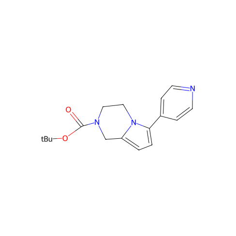 CC(C)(C)OC(=O)N1CCn2c(ccc2-c2ccncc2)C1